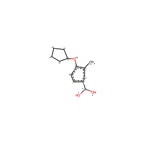 Cc1cc(B(O)O)ccc1OC1CCCC1